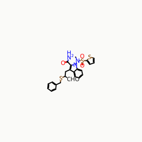 CN(n1c(C(N)=O)c(CC(C=O)SCc2ccccc2)c2ccccc21)S(=O)(=O)c1cccs1